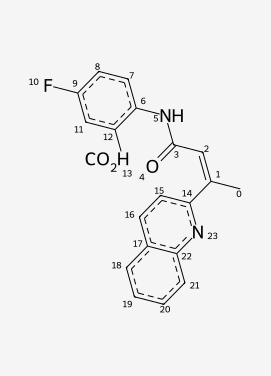 C/C(=C/C(=O)Nc1ccc(F)cc1C(=O)O)c1ccc2ccccc2n1